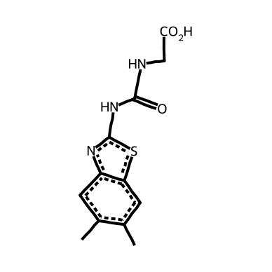 Cc1cc2nc(NC(=O)NCC(=O)O)sc2cc1C